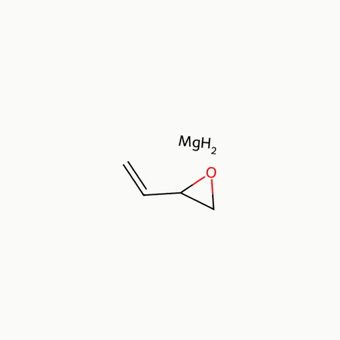 C=CC1CO1.[MgH2]